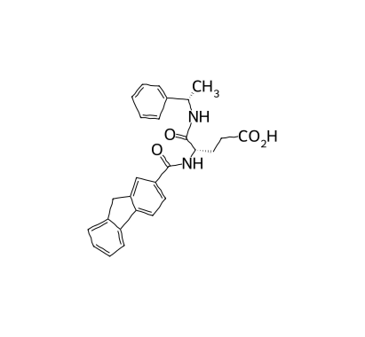 C[C@H](NC(=O)[C@H](CCC(=O)O)NC(=O)c1ccc2c(c1)Cc1ccccc1-2)c1ccccc1